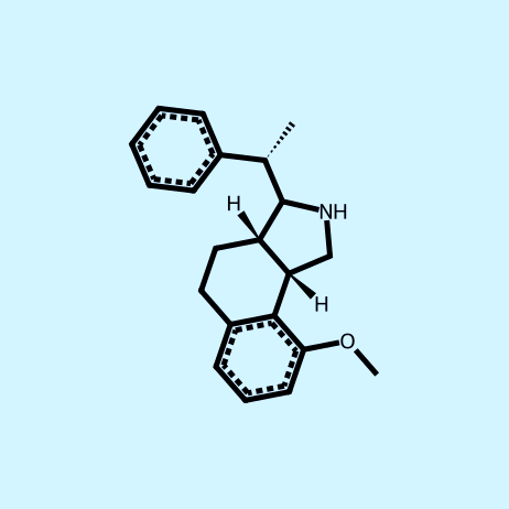 COc1cccc2c1[C@H]1CNC([C@@H](C)c3ccccc3)[C@H]1CC2